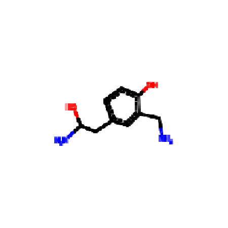 NCc1cc(CC(N)O)ccc1O